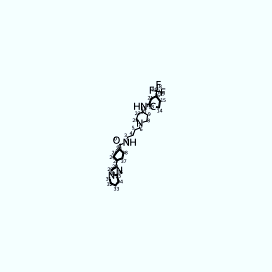 O=C(NCCCCN1CCC(Nc2cccc(C(F)(F)F)c2)CC1)c1ccc(-c2cn3ccccc3n2)cc1